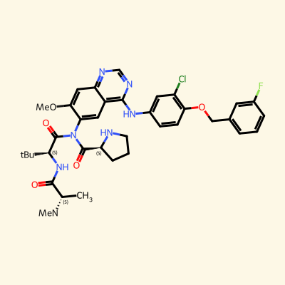 CN[C@@H](C)C(=O)N[C@H](C(=O)N(C(=O)[C@@H]1CCCN1)c1cc2c(Nc3ccc(OCc4cccc(F)c4)c(Cl)c3)ncnc2cc1OC)C(C)(C)C